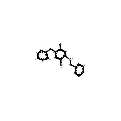 Cc1cc(OCc2ccccc2)c(Br)cc1Cc1ccccc1